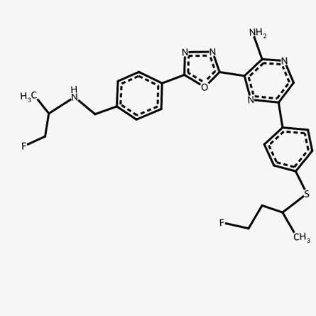 CC(CF)NCc1ccc(-c2nnc(-c3nc(-c4ccc(SC(C)CCF)cc4)cnc3N)o2)cc1